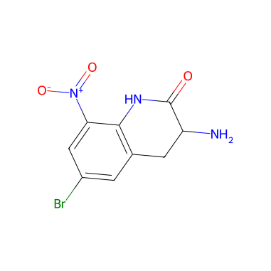 NC1Cc2cc(Br)cc([N+](=O)[O-])c2NC1=O